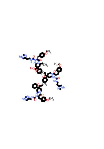 CCC(=O)C1(C2CCCCC2)CCN(C(=O)C(Cc2ccc(OC)cc2)NC(=O)NCCc2c[nH]cn2)CC1.CCC(=O)C1(C2CCCCC2)CCN(C(=O)C(Cc2ccc(OC)cc2)NC(=O)NCc2c[nH]cn2)CC1.CCC1CC(C(=O)O)(C2CCCCC2)CCN1C(=O)[C@@H](Cc1ccc(OC)cc1)NC(=O)NCCc1c[nH]cn1